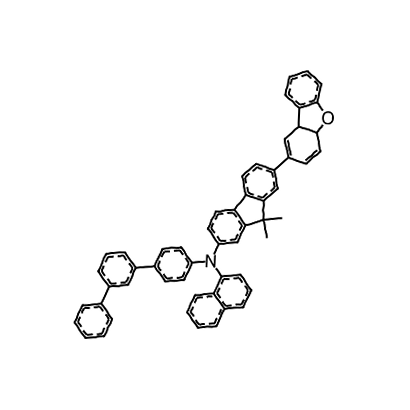 CC1(C)c2cc(C3=CC4c5ccccc5OC4C=C3)ccc2-c2ccc(N(c3ccc(-c4cccc(-c5ccccc5)c4)cc3)c3cccc4ccccc34)cc21